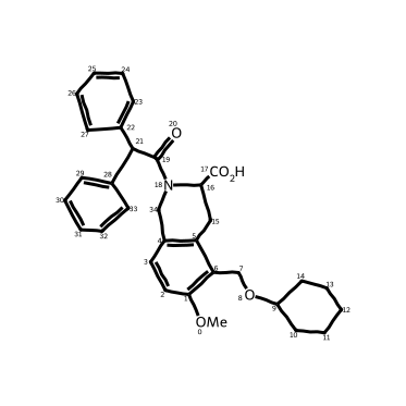 COc1ccc2c(c1COC1CCCCC1)CC(C(=O)O)N(C(=O)C(c1ccccc1)c1ccccc1)C2